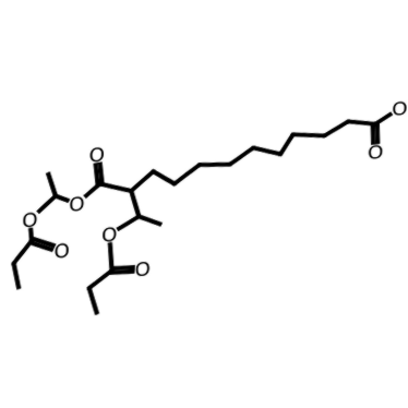 CCC(=O)OC(C)OC(=O)C(CCCCCCCCCC(=O)O)C(C)OC(=O)CC